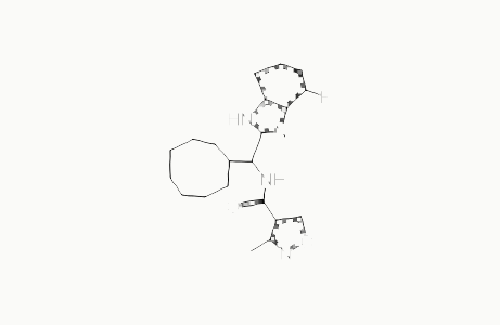 Cc1nocc1C(=O)NC(c1nc2c(F)cccc2[nH]1)C1CCCCCCC1